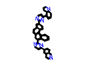 c1cc(-c2ccnc(-c3ccc4c(ccc5cc(-c6nccc(-c7ccc8cnccc8c7)n6)c6ccccc6c54)c3)n2)c2cccnc2c1